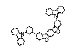 c1cc(-c2ccc3oc4cc5oc6ccc(-n7c8ccccc8c8ccccc87)cc6c5cc4c3c2)cc(-n2c3ccccc3c3ccccc32)c1